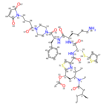 CC[C@H](C)CC(=O)N(C)C(C[C@@H](OC(C)=O)c1nc(C(=O)N[C@@H](CSc2cccs2)C(=O)N[C@H](CCCCN)C(=O)N[C@@H](Cc2ccccc2)C(=O)N2CCN(C(=O)CCCN3C(=O)C=CC3=O)CC2)cs1)C(C)C